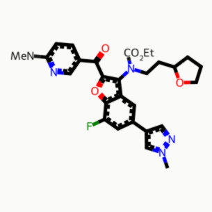 CCOC(=O)N(CCC1CCCO1)c1c(C(=O)c2ccc(NC)nc2)oc2c(F)cc(-c3cnn(C)c3)cc12